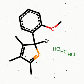 COc1ccccc1[C]1([Zr])P=C(C)C(C)=C1C.Cl.Cl.Cl